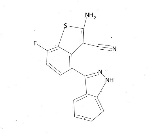 N#Cc1c(N)sc2c(F)ccc(-c3n[nH]c4ccccc34)c12